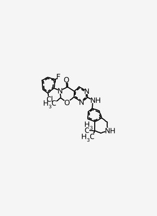 CC1Oc2nc(Nc3ccc4c(c3)CNCC4(C)C)ncc2C(=O)N1c1c(F)cccc1Cl